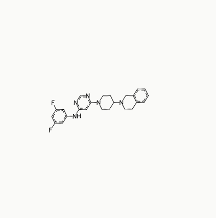 Fc1cc(F)cc(Nc2cc(N3CCC(N4CCc5ccccc5C4)CC3)ncn2)c1